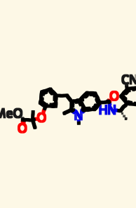 COC(=O)C(C)(C)Oc1cccc(Cc2c(C)n(C)c3cc(C(=O)N[C@@H](C)c4cccc(C#N)c4)ccc23)c1